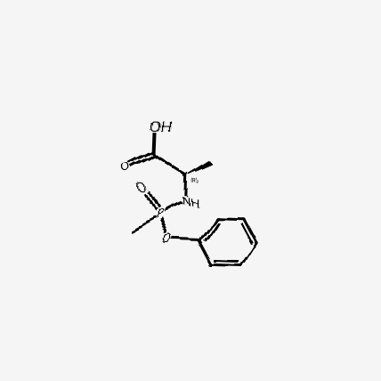 C[C@@H](NP(C)(=O)Oc1ccccc1)C(=O)O